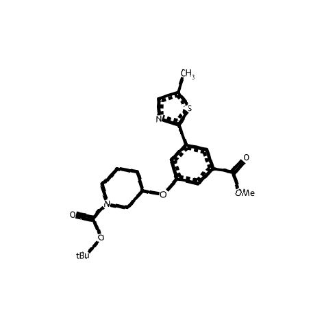 COC(=O)c1cc(OC2CCCN(C(=O)OC(C)(C)C)C2)cc(-c2ncc(C)s2)c1